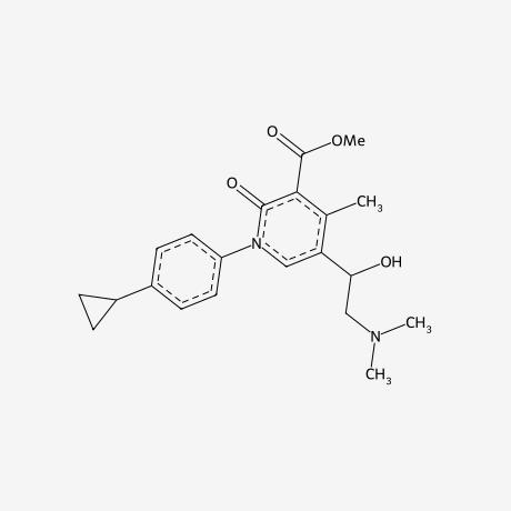 COC(=O)c1c(C)c(C(O)CN(C)C)cn(-c2ccc(C3CC3)cc2)c1=O